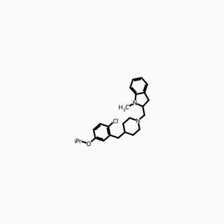 CC(C)Oc1ccc(Cl)c(CC2CCN(CC3Cc4ccccc4N3C)CC2)c1